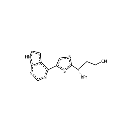 CCC[C@@H](CCC#N)c1ncc(-c2ncnc3[nH]ccc23)s1